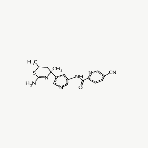 CC1C[C@@](C)(c2cncc(NC(=O)c3ccc(C#N)cn3)c2)N=C(N)S1